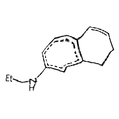 CCNc1ccc2c(c1)CCC=C2